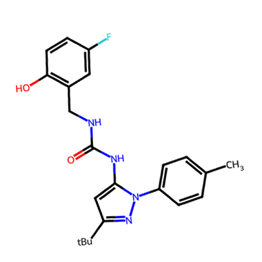 Cc1ccc(-n2nc(C(C)(C)C)cc2NC(=O)NCc2cc(F)ccc2O)cc1